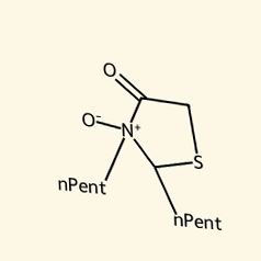 CCCCCC1SCC(=O)[N+]1([O-])CCCCC